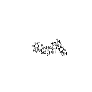 CN1CC23CC4(Cc5[nH]c(=O)c(C(=O)N[C@@H](Cc6ccccc6)C(N)=O)cc5CC4(O)C12)c1cc(O)ccc13